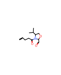 C=CCCC(=O)N1C(C=O)OCC1C(C)C